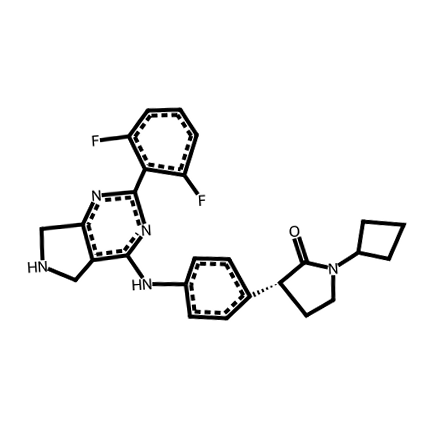 O=C1[C@@H](c2ccc(Nc3nc(-c4c(F)cccc4F)nc4c3CNC4)cc2)CCN1C1CCC1